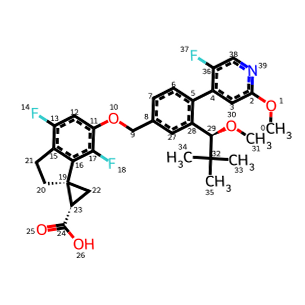 COc1cc(-c2ccc(COc3cc(F)c4c(c3F)[C@@]3(CC4)C[C@@H]3C(=O)O)cc2[C@@H](OC)C(C)(C)C)c(F)cn1